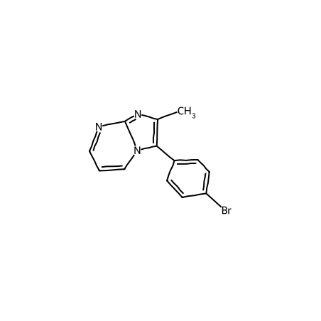 Cc1nc2ncccn2c1-c1ccc(Br)cc1